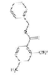 Cc1ccc(C(=O)OCc2ccccc2)c(C(=O)O)c1